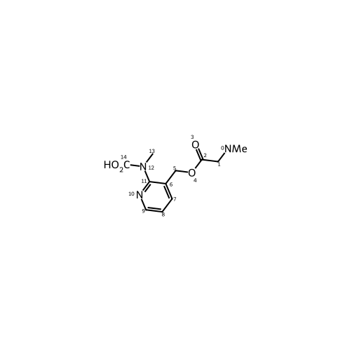 CNCC(=O)OCc1cccnc1N(C)C(=O)O